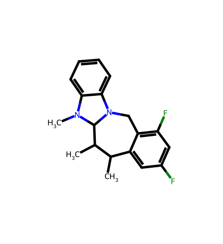 CC1c2cc(F)cc(F)c2CN2c3ccccc3N(C)C2C1C